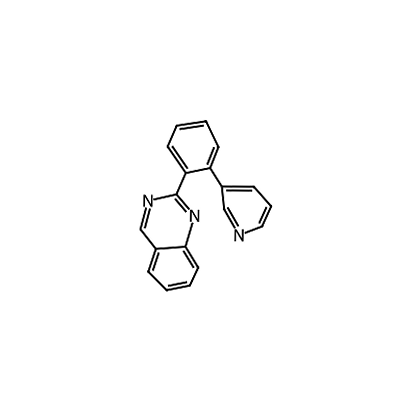 c1cncc(-c2ccccc2-c2ncc3ccccc3n2)c1